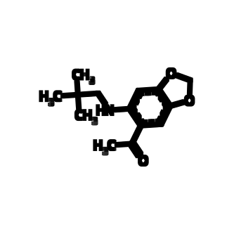 CC(=O)c1cc2c(cc1NCC(C)(C)C)OCO2